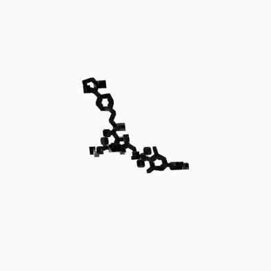 COc1cc(C)c(S(=O)(=O)N(C)Cc2nnc(C(=O)NCCc3ccc(C4=NCCN4)cc3)s2)c(C)c1.NC(=O)C(F)(F)F